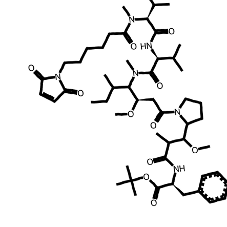 CCC(C)C([C@@H](CC(=O)N1CCCC1C(OC)C(C)C(=O)N[C@@H](Cc1ccccc1)C(=O)OC(C)(C)C)OC)N(C)C(=O)[C@@H](NC(=O)[C@H](C(C)C)N(C)C(=O)CCCCCN1C(=O)C=CC1=O)C(C)C